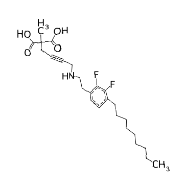 CCCCCCCCCc1ccc(CCNCC#CCC(C)(C(=O)O)C(=O)O)c(F)c1F